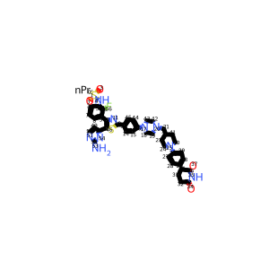 CCCS(=O)(=O)Nc1cccc(-c2nc(-c3ccc(N4CCN(CC5CCN(c6ccc([C@H]7CCC(=O)NC7=O)cc6)CC5)CC4)cc3)sc2-c2ccnc(N)n2)c1F